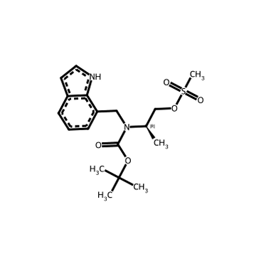 C[C@H](COS(C)(=O)=O)N(Cc1cccc2cc[nH]c12)C(=O)OC(C)(C)C